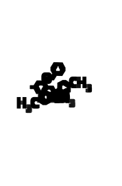 COc1c[c]cc(OCc2ccccc2)c1CC(C)(c1ccc(C)cc1)c1ccc(C)cc1